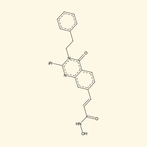 CC(C)c1nc2cc(C=CC(=O)NO)ccc2c(=O)n1CCc1ccccc1